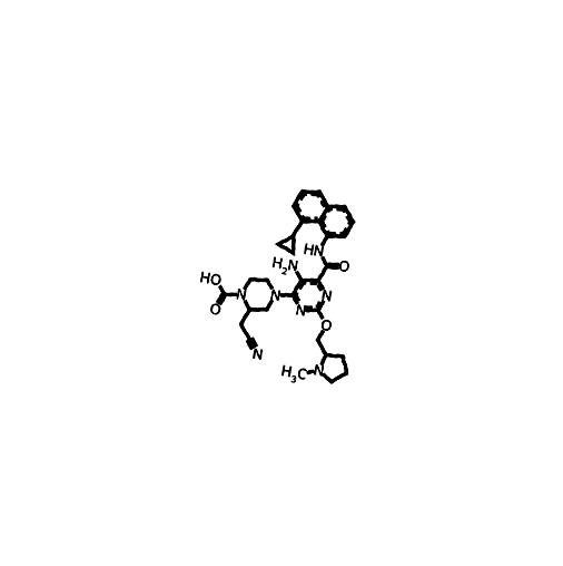 CN1CCCC1COc1nc(C(=O)Nc2cccc3cccc(C4CC4)c23)c(N)c(N2CCN(C(=O)O)C(CC#N)C2)n1